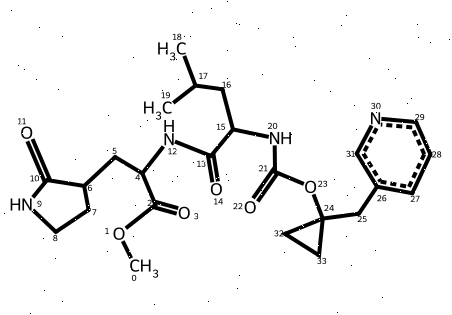 COC(=O)C(CC1CCNC1=O)NC(=O)C(CC(C)C)NC(=O)OC1(Cc2cccnc2)CC1